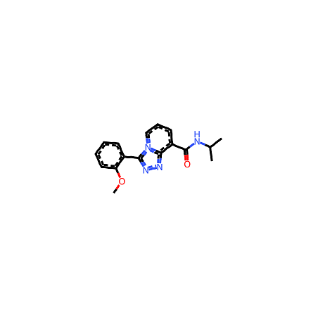 COc1ccccc1-c1nnc2c(C(=O)NC(C)C)cccn12